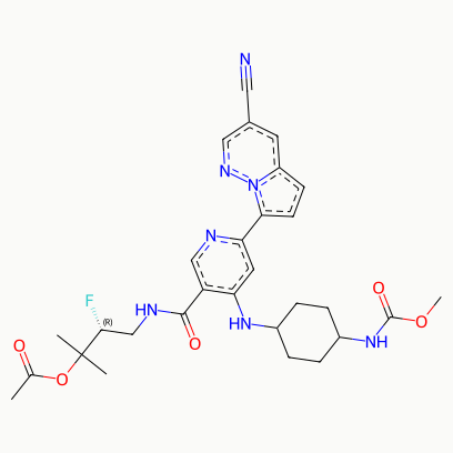 COC(=O)NC1CCC(Nc2cc(-c3ccc4cc(C#N)cnn34)ncc2C(=O)NC[C@@H](F)C(C)(C)OC(C)=O)CC1